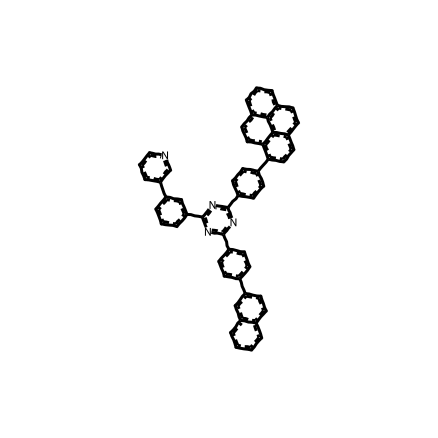 c1cncc(-c2cccc(-c3nc(-c4ccc(-c5ccc6ccccc6c5)cc4)nc(-c4ccc(-c5ccc6ccc7cccc8ccc5c6c78)cc4)n3)c2)c1